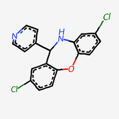 Clc1ccc2c(c1)NC(c1ccncc1)c1cc(Cl)ccc1O2